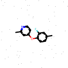 Cc1ccc(Oc2ccnc(C)c2)c(F)c1